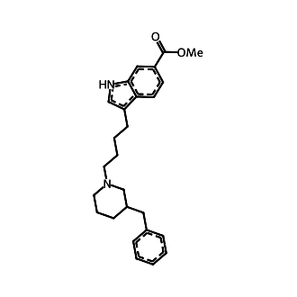 COC(=O)c1ccc2c(CCCCN3CCCC(Cc4ccccc4)C3)c[nH]c2c1